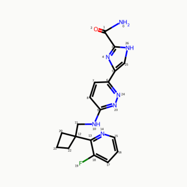 NC(=O)c1nc(-c2ccc(NCC3(c4ncccc4F)CCC3)nn2)c[nH]1